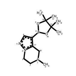 CN1CCn2ncc(B3OC(C)(C)C(C)(C)O3)c2C1